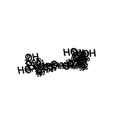 Oc1ccc2c(O)ccc(-c3ccccc3-c3ccccc3-c3ccc4cc(OCCCCOc5ccc6cc(C7(c8ccc(O)c9ccc(O)cc89)c8ccccc8-c8ccccc87)ccc6c5)ccc4c3)c2c1